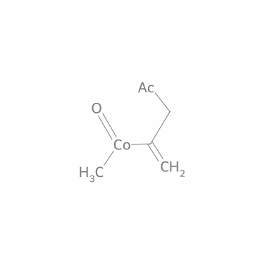 C=[C](CC(C)=O)[Co]([CH3])=[O]